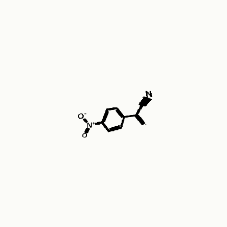 [CH]=C(C#N)c1ccc([N+](=O)[O-])cc1